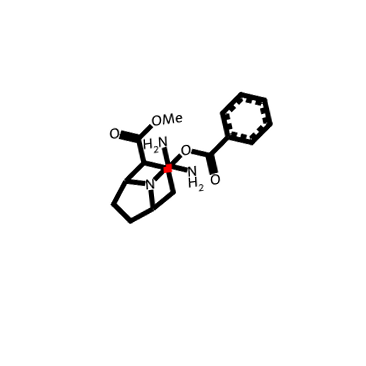 COC(=O)C1C(OC(=O)c2ccccc2)CC2CCC1N2C(N)N